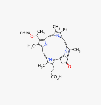 CCCCCCOC(C)c1c(C)c2cc3nc(c4c5[nH]c(cc6nc(cc1[nH]2)C(C)=C6CC)c(C)c5C(=O)C4)C(CCC(=O)O)C3C